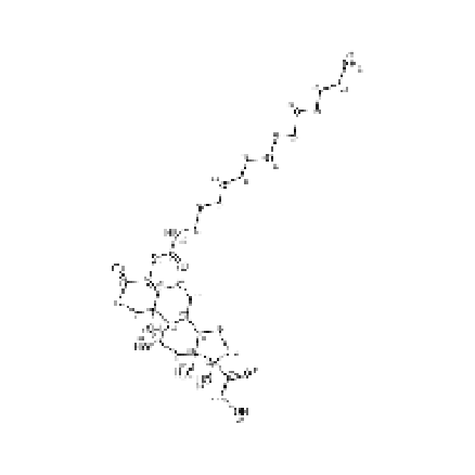 CC12CCC(=O)C(SC(=O)NCCCOCCOCCOCCCN)=C1CCC1C2[C@@H](O)CC2(C)C1CCC2(O)C(=O)CO